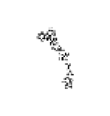 CN(CCCCCNC(=O)CCN1CCC(OC(=O)Nc2ccccc2-c2ccccc2)CC1)Cc1ccc(O)cc1